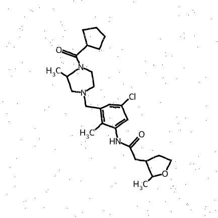 Cc1c(CN2CCN(C(=O)C3CCCC3)C(C)C2)cc(Cl)cc1NC(=O)CC1CCOC1C